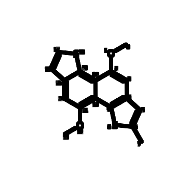 COc1cc2cc(C)sc2c2c(OC)cc3ccsc3c12